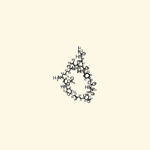 CC(=O)O[C@@H](C)/C=C\C(=O)N[C@@H]1C[C@H](C)[C@H](C/C=C(C)/C=C/[C@@H]2C[C@]3(CO3)C[C@@H](CC(=O)N(C)NC(=O)OCc3ccc(NC(=O)[C@H](CCCNC(N)=O)NC(=O)[C@@H](NC(=O)CCCCCN)C(C)C)cc3)O2)O[C@@H]1C